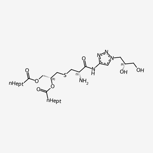 CCCCCCCC(=O)OC[C@H](CSC[C@@H](N)C(=O)Nc1cn(C[C@@H](O)CO)nn1)OC(=O)CCCCCCC